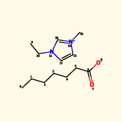 CCCCCCC(=O)[O-].CCn1cc[n+](C)c1